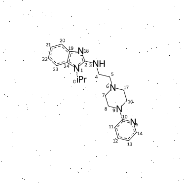 CC(C)n1c(NCCN2CCN(c3ccccn3)CC2)nc2ccccc21